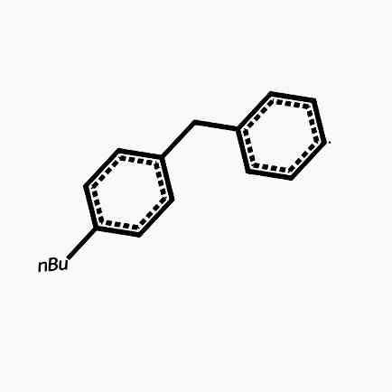 CCCCc1ccc(Cc2cc[c]cc2)cc1